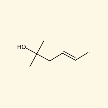 [CH2]/C=C/CC(C)(C)O